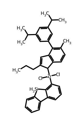 CCCC1=Cc2c(ccc(C)c2-c2cc(C(C)C)cc(C(C)C)c2)[CH]1[Zr]([Cl])([Cl])[c]1cccc2c1[SiH2]c1ccccc1-2